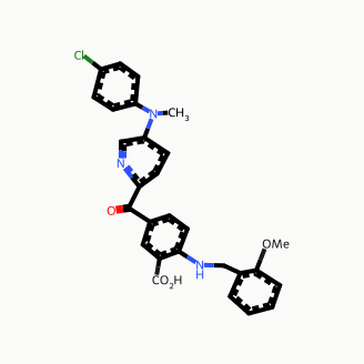 COc1ccccc1CNc1ccc(C(=O)c2ccc(N(C)c3ccc(Cl)cc3)cn2)cc1C(=O)O